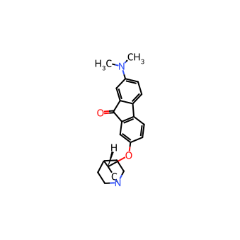 CN(C)c1ccc2c(c1)C(=O)c1cc(O[C@@H]3CN4CCC3CC4)ccc1-2